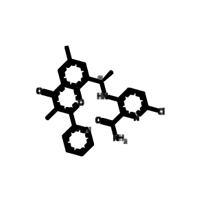 Cc1cc([C@@H](C)Nc2ccc(Cl)nc2C(N)=O)c2oc(-c3ccccn3)c(C)c(=O)c2c1